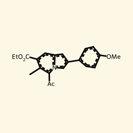 CCOC(=O)c1cc2cc(-c3ccc(OC)cc3)cn2c(C(C)=O)c1C